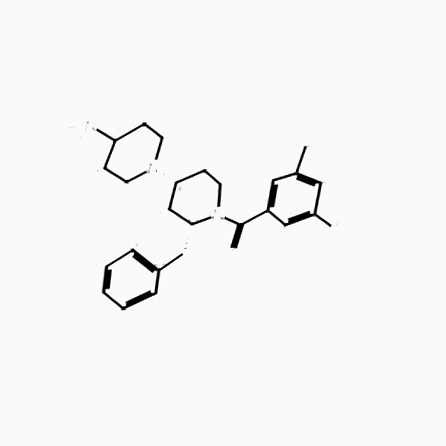 Cc1cc(C)cc(C(=O)N2CC[C@@H](N3CCC(N)CC3)C[C@H]2Cc2ccccc2)c1